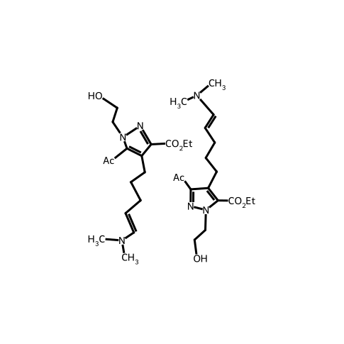 CCOC(=O)c1c(CCCC=CN(C)C)c(C(C)=O)nn1CCO.CCOC(=O)c1nn(CCO)c(C(C)=O)c1CCCC=CN(C)C